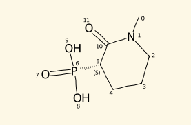 CN1CCC[C@H](P(=O)(O)O)C1=O